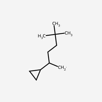 [CH2]C(CCC(C)(C)C)C1CC1